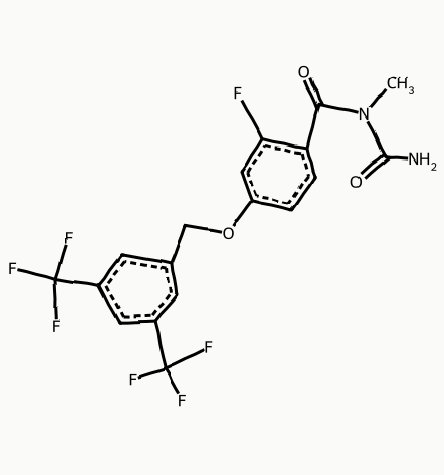 CN(C(N)=O)C(=O)c1ccc(OCc2cc(C(F)(F)F)cc(C(F)(F)F)c2)cc1F